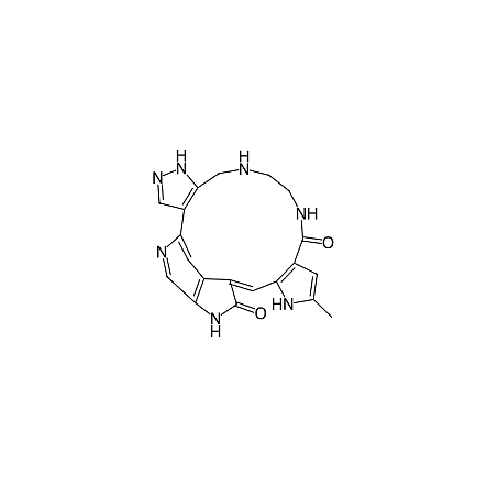 Cc1cc2c([nH]1)/C=C1\C(=O)Nc3cnc(cc31)-c1cn[nH]c1CNCCNC2=O